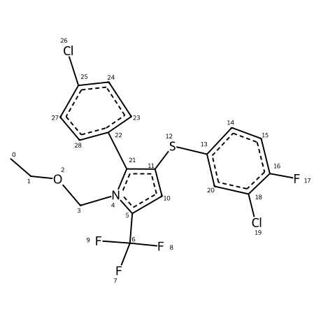 CCOCn1c(C(F)(F)F)cc(Sc2ccc(F)c(Cl)c2)c1-c1ccc(Cl)cc1